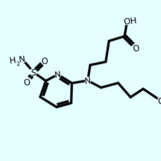 CCCCCN(CCCC(=O)O)c1cccc(S(N)(=O)=O)n1